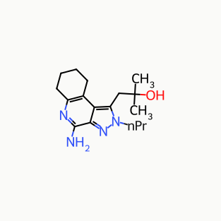 CCCn1nc2c(N)nc3c(c2c1CC(C)(C)O)CCCC3